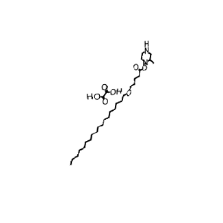 CCCCCCCCCCCCCCCCCCOCCCCC(=O)ON1CCNCC1C.O=C(O)C(=O)O